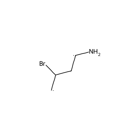 [CH2]C(Br)C[CH]N